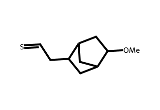 COC1CC2CC1CC2CC=S